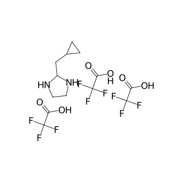 C1CNC(CC2CC2)N1.O=C(O)C(F)(F)F.O=C(O)C(F)(F)F.O=C(O)C(F)(F)F